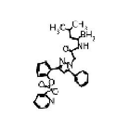 BC(CC(C)C)NC(=O)Cn1nc(-c2ccccc2OS(=O)(=O)c2ccccn2)cc1-c1ccccc1